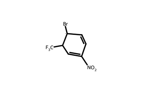 O=[N+]([O-])C1=CC(C(F)(F)F)[C](Br)C=C1